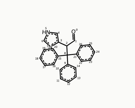 O=CC(c1c[nH]cn1)C(c1ccccc1)(c1ccccc1)c1ccccc1